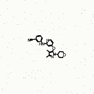 Cc1nn(C2CCOCC2)c(Oc2ccnc(Nc3cccc(C#N)c3)c2)c1C